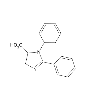 O=C(O)C1CN=C(c2ccccc2)N1c1ccccc1